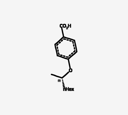 CCCCCC[C@H](C)Oc1ccc(C(=O)O)cc1